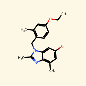 CCOc1ccc(Cn2c(C)nc3c(C)cc(Br)cc32)c(C)c1